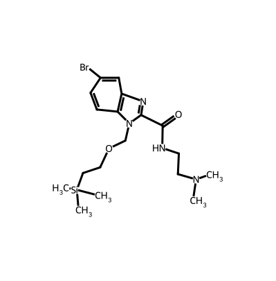 CN(C)CCNC(=O)c1nc2cc(Br)ccc2n1COCC[Si](C)(C)C